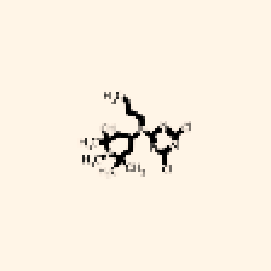 CCCCN(c1nc(Cl)nc(Cl)n1)C1CC(C)(C)N(C)C(C)(C)C1